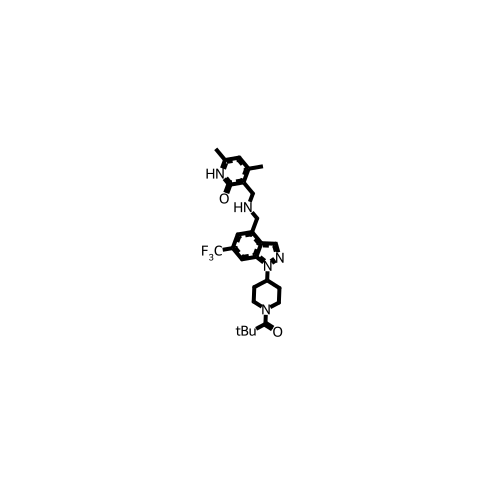 Cc1cc(C)c(CNCc2cc(C(F)(F)F)cc3c2cnn3C2CCN(C(=O)C(C)(C)C)CC2)c(=O)[nH]1